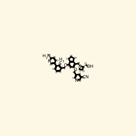 Cc1c(COc2cc(OCc3cncc(C#N)c3)c(CN3CC[C@H]3CO)c3c2CCC3)cccc1-c1ccc(N)nc1